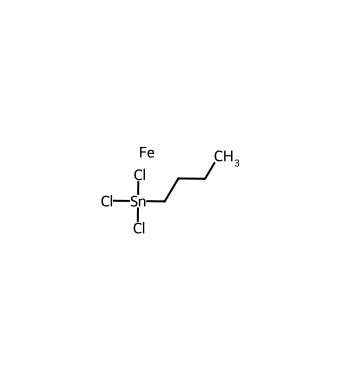 CCC[CH2][Sn]([Cl])([Cl])[Cl].[Fe]